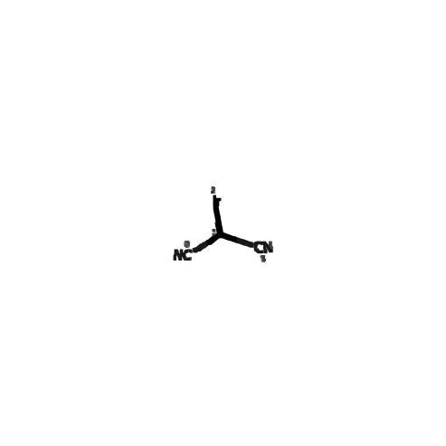 N#C[CH]([Ir])C#N